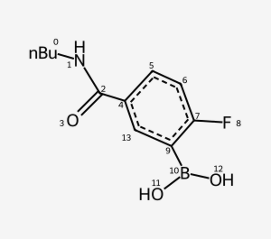 CCCCNC(=O)c1ccc(F)c(B(O)O)c1